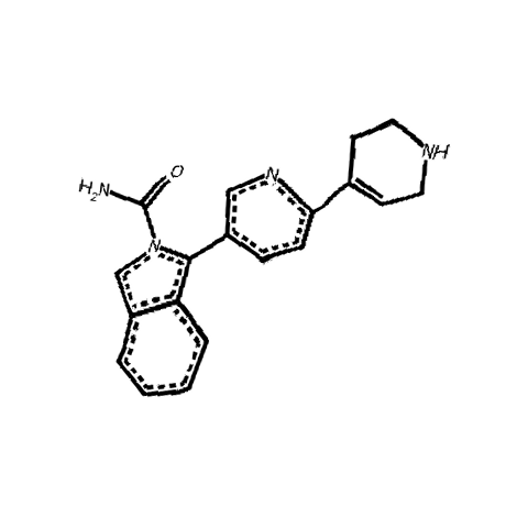 NC(=O)n1cc2ccccc2c1-c1ccc(C2=CCNCC2)nc1